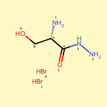 Br.Br.NNC(=O)[C@@H](N)CO